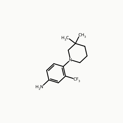 CC1(C)CCCN(c2ccc(N)cc2C(F)(F)F)C1